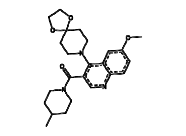 COc1ccc2ncc(C(=O)N3CCC(C)CC3)c(N3CCC4(CC3)OCCO4)c2c1